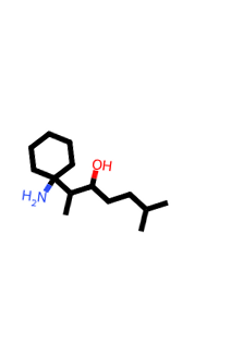 CC(C)CCC(O)C(C)C1(N)CCCCC1